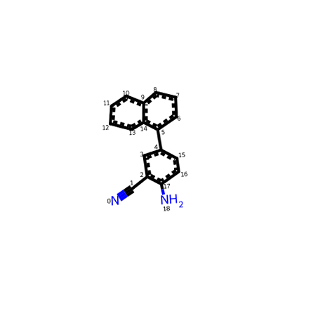 N#Cc1cc(-c2cccc3ccccc23)ccc1N